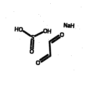 O=CC=O.O=S(O)O.[NaH]